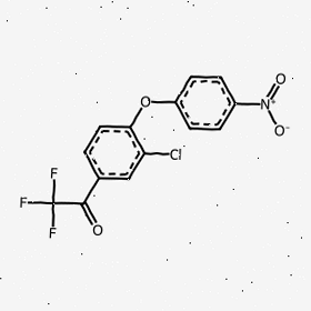 O=C(c1ccc(Oc2ccc([N+](=O)[O-])cc2)c(Cl)c1)C(F)(F)F